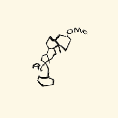 CO[C@H]1CC[C@@]2(C)C(=CCC3C2CC[C@@]2(C)C3CCC2(Cc2ccccc2)C(C)=O)C1